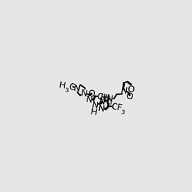 Cc1oc(N2CCN(C)CC2)nc1Nc1ncc(C(F)(F)F)c(NCCCN2C=CC=COC2=O)n1